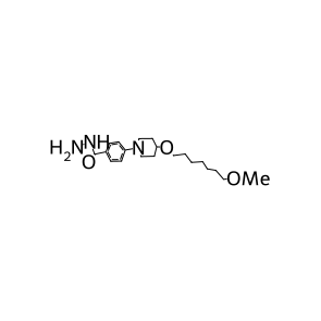 COCCCCCCCOC1CCN(c2ccc(C(=O)NN)cc2)CC1